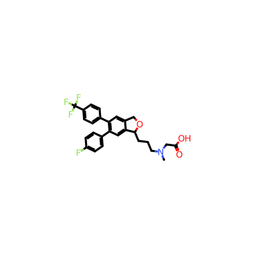 CN(CCCC1OCc2cc(-c3ccc(C(F)(F)F)cc3)c(-c3ccc(F)cc3)cc21)CC(=O)O